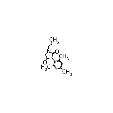 C=CCN1CC(=O)C(c2c(C)cc(C)cc2C)C1=O